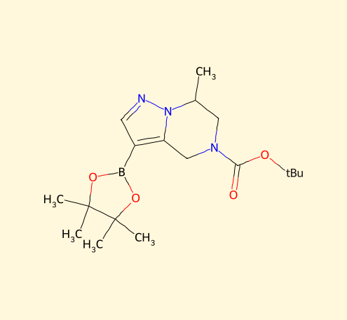 CC1CN(C(=O)OC(C)(C)C)Cc2c(B3OC(C)(C)C(C)(C)O3)cnn21